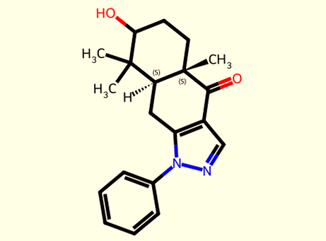 CC1(C)C(O)CC[C@]2(C)C(=O)c3cnn(-c4ccccc4)c3C[C@@H]12